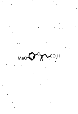 COc1ccc(OC(=O)CCC(=O)O)cc1